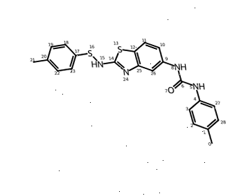 Cc1ccc(NC(=O)Nc2ccc3sc(NSc4ccc(C)cc4)nc3c2)cc1